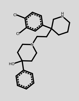 OC1(c2ccccc2)CCN(CCC2(c3ccc(Cl)c(Cl)c3)CCCNC2)CC1